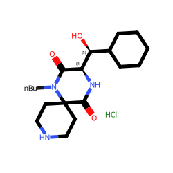 CCCCN1C(=O)[C@@H]([C@@H](O)C2CCCCC2)NC(=O)C12CCNCC2.Cl